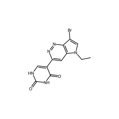 CCn1cc(Br)c2nnc(-c3c[nH]c(=O)[nH]c3=O)cc21